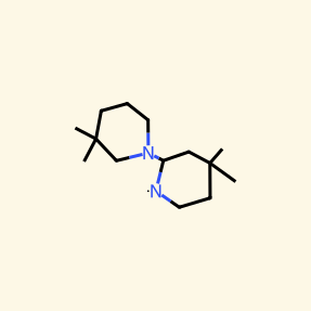 CC1(C)CC[N]C(N2CCCC(C)(C)C2)C1